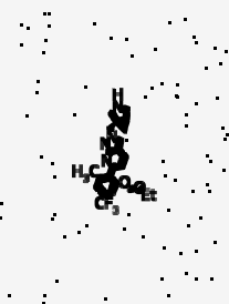 CCOCOc1cc(C(F)(F)F)cc(C)c1-c1ccc2cn(C[C@@]34CNCC3C4)nc2n1